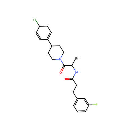 CC(C)C(NC(=O)CCc1cccc(F)c1)C(=O)N1CCC(C2=CCC(Cl)C=C2)CC1